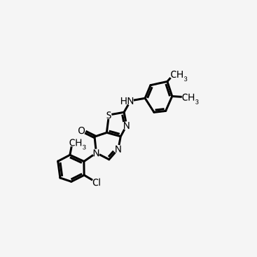 Cc1ccc(Nc2nc3ncn(-c4c(C)cccc4Cl)c(=O)c3s2)cc1C